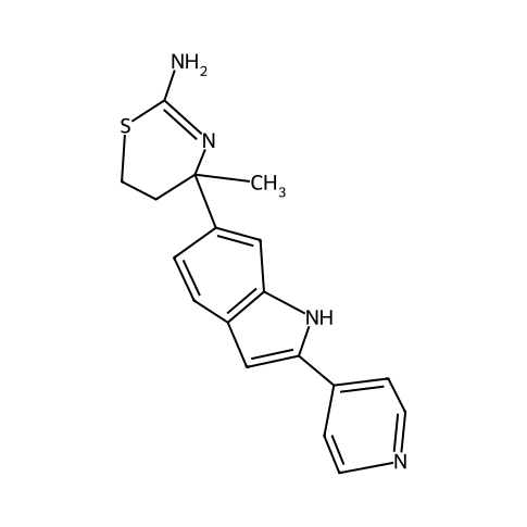 CC1(c2ccc3cc(-c4ccncc4)[nH]c3c2)CCSC(N)=N1